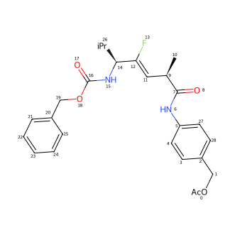 CC(=O)OCc1ccc(NC(=O)[C@H](C)/C=C(\F)[C@@H](NC(=O)OCc2ccccc2)C(C)C)cc1